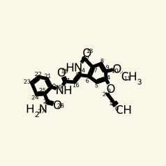 C#CCOc1cc2c(cc1OC)C(=O)N/C2=C\C(=O)Nc1ccccc1C(N)=O